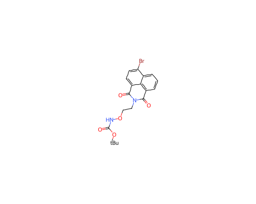 CC(C)(C)OC(=O)NOCCN1C(=O)c2cccc3c(Br)ccc(c23)C1=O